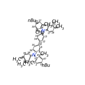 CCCCc1cc(C)c(N(c2ccc(-c3ccc(N(c4ccc(C)c(C)c4)c4c(C)cc(CCCC)cc4C)cc3)cc2)c2ccc(C)c(C)c2)c(C)c1